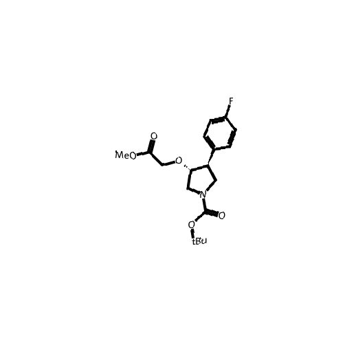 COC(=O)CO[C@H]1CN(C(=O)OC(C)(C)C)C[C@@H]1c1ccc(F)cc1